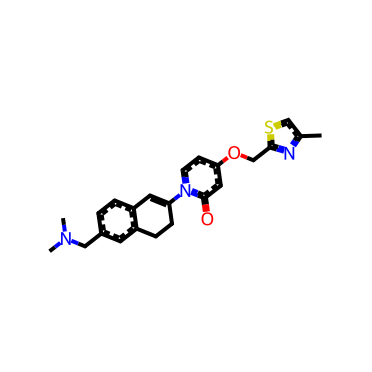 Cc1csc(COc2ccn(C3=Cc4ccc(CN(C)C)cc4CC3)c(=O)c2)n1